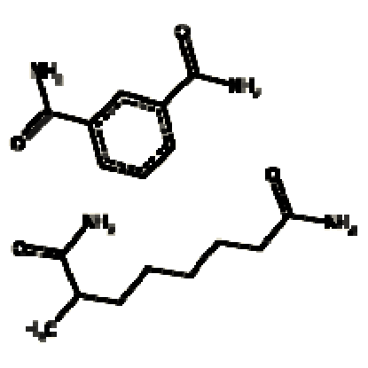 CC(CCCCCC(N)=O)C(N)=O.NC(=O)c1cccc(C(N)=O)c1